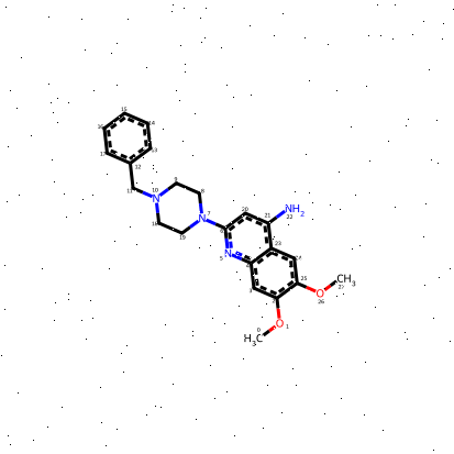 COc1cc2nc(N3CCN(Cc4ccccc4)CC3)cc(N)c2cc1OC